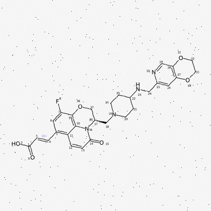 O=C(O)/C=C/c1cc(F)c2c3c1ccc(=O)n3[C@H](CN1CCC(NCc3cc4c(cn3)OCCO4)CC1)CO2